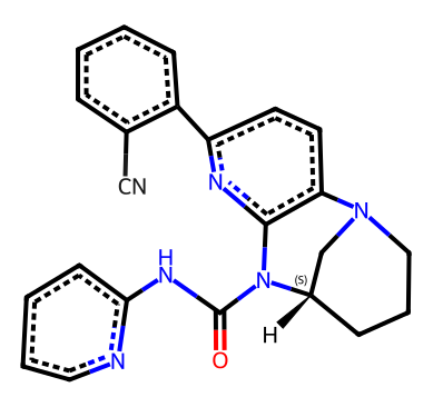 N#Cc1ccccc1-c1ccc2c(n1)N(C(=O)Nc1ccccn1)[C@H]1CCCN2C1